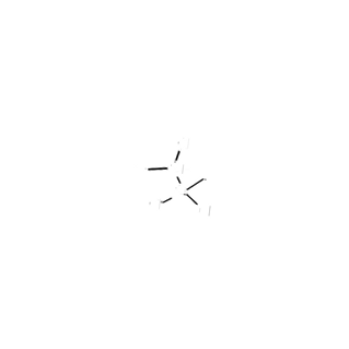 Cl[SiH](Cl)[Si](Cl)(Cl)I